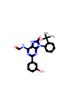 CC(C)(C)c1ccccc1-n1c(=O)[nH]c2c(N[C]=O)nc(-c3cccc(O)c3)nc21